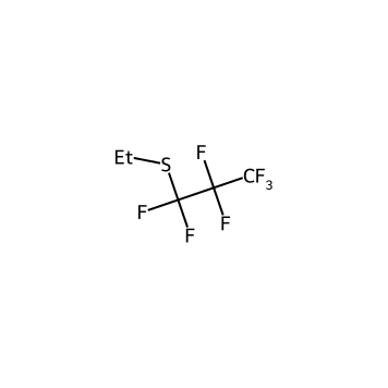 CCSC(F)(F)C(F)(F)C(F)(F)F